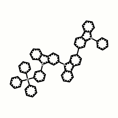 c1ccc(-n2c3ccccc3c3ccc(-c4ccc5c6ccccc6n(-c6ccc7c8ccccc8n(-c8cccc([Si](c9ccccc9)(c9ccccc9)c9ccccc9)c8)c7c6)c5c4)cc32)cc1